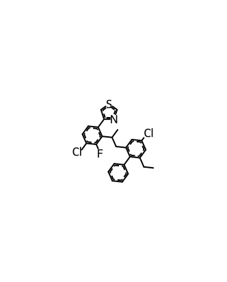 CCc1cc(Cl)cc(CC(C)c2c(-c3cscn3)ccc(Cl)c2F)c1-c1ccccc1